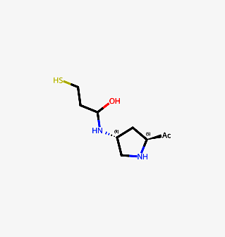 CC(=O)[C@@H]1C[C@@H](NC(O)CCS)CN1